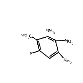 N.Nc1cc(F)c(C(=O)O)cc1[N+](=O)[O-]